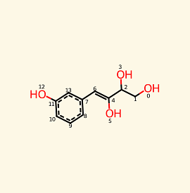 OCC(O)C(O)=Cc1cccc(O)c1